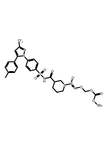 Cc1ccc(-c2cc(C(F)(F)F)nn2-c2ccc(S(=O)(=O)NC(=O)C3CCCN([N+]([O-])=NOCOC(=O)OC(C)(C)C)C3)cc2)cc1